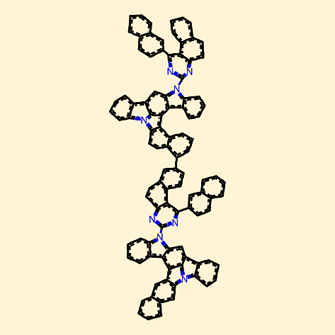 c1ccc2cc(-c3nc(-n4c5ccccc5c5c6c7cc8ccccc8cc7n7c8ccccc8c(cc54)c67)nc4ccc5cc(-c6cccc7c6ccc6c7c7c8c9ccccc9n(-c9nc(-c%10ccc%11ccccc%11c%10)c%10c(ccc%11ccccc%11%10)n9)c8cc8c9ccccc9n6c87)ccc5c34)ccc2c1